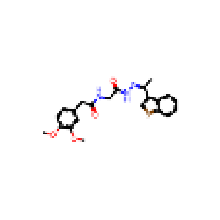 COc1ccc(CC(=O)NCC(=O)N/N=C(/C)c2csc3ccccc23)cc1OC